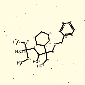 COC(C)(CC(O)C(CO)(COCc1ccccc1)C1CCCCC1)OC